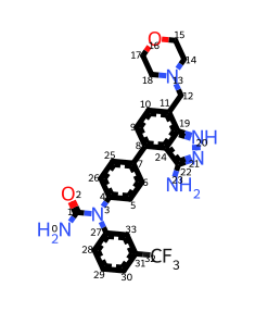 NC(=O)N(c1ccc(-c2ccc(CN3CCOCC3)c3[nH]nc(N)c23)cc1)c1cccc(C(F)(F)F)c1